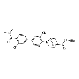 CN(C)C(=O)c1ccc(-c2cnc(N3CC4CCC3CN4C(=O)OC(C)(C)C)c(C#N)c2)cc1Cl